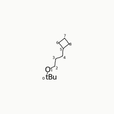 CC(C)(C)OCCCC1CCC1